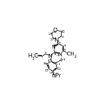 C=CCN(c1nc(C)cc(N2CCOCC2)n1)c1ccc(CCC)cc1I